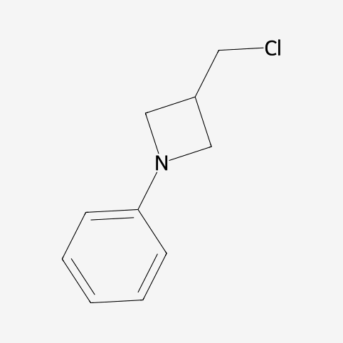 ClCC1CN(c2ccccc2)C1